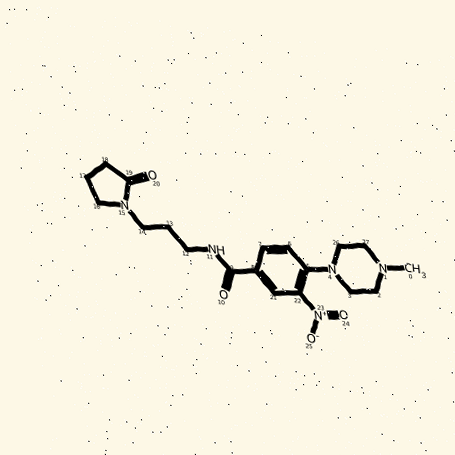 CN1CCN(c2ccc(C(=O)NCCCN3CCCC3=O)cc2[N+](=O)[O-])CC1